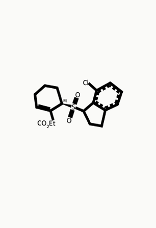 CCOC(=O)C1=CCCC[C@H]1S(=O)(=O)C1CCc2cccc(Cl)c21